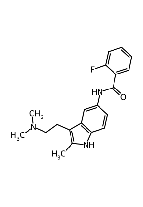 Cc1[nH]c2ccc(NC(=O)c3ccccc3F)cc2c1CCN(C)C